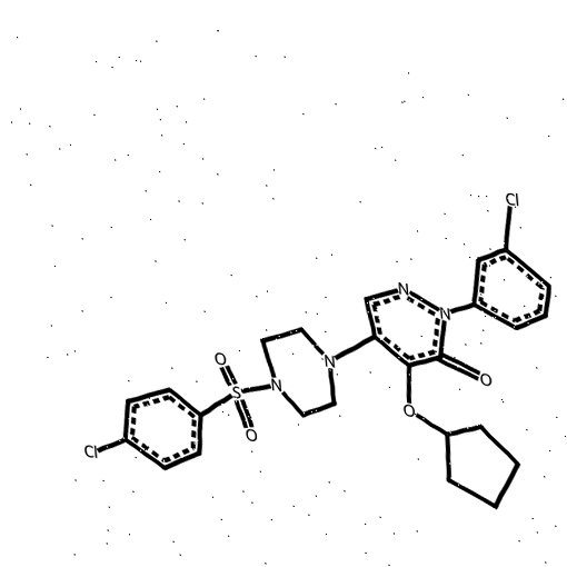 O=c1c(OC2CCCC2)c(N2CCN(S(=O)(=O)c3ccc(Cl)cc3)CC2)cnn1-c1cccc(Cl)c1